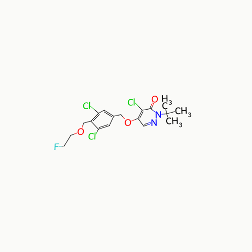 CC(C)(C)n1ncc(OCc2cc(Cl)c(COCCF)c(Cl)c2)c(Cl)c1=O